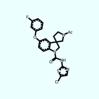 CC(=O)N1CCC2(C1)CN(C(=O)Nc1ncc(Cl)s1)c1ccc(Oc3cccc(F)c3)cc12